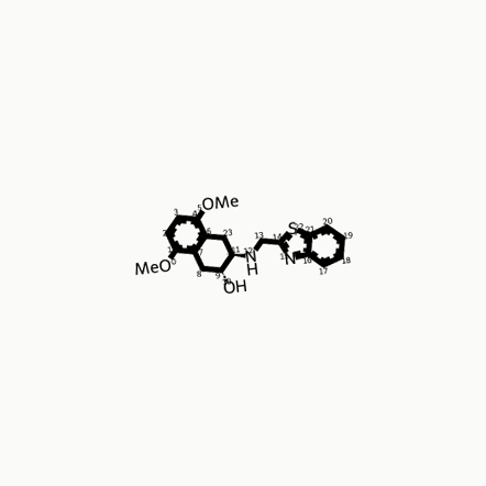 COc1ccc(OC)c2c1C[C@@H](O)[C@H](NCc1nc3ccccc3s1)C2